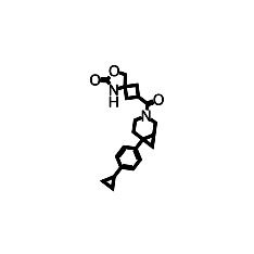 O=C1NC2(CO1)CC(C(=O)N1CCC3(c4ccc(C5CC5)cc4)CC3C1)C2